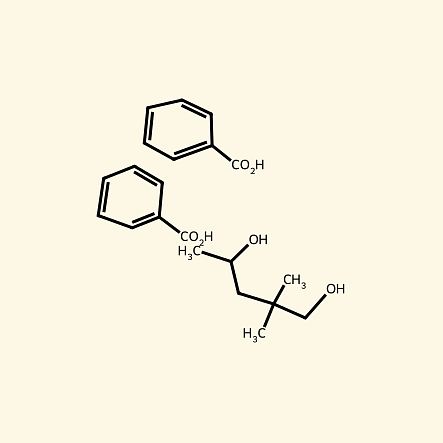 CC(O)CC(C)(C)CO.O=C(O)c1ccccc1.O=C(O)c1ccccc1